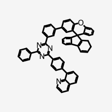 C1=CC2=C(CC1)C1(c3ccccc3Oc3ccc(-c4cccc(-c5nc(-c6ccccc6)nc(-c6ccc(-c7cccc8cccnc78)cc6)n5)c4)cc31)c1ccccc12